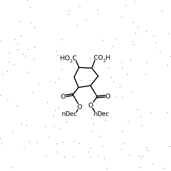 CCCCCCCCCCOC(=O)C1CC(C(=O)O)C(C(=O)O)CC1C(=O)OCCCCCCCCCC